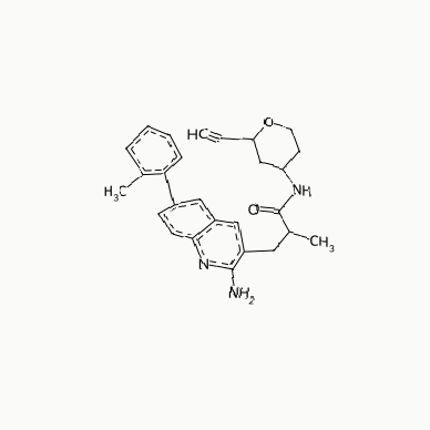 C#CC1CC(NC(=O)C(C)Cc2cc3cc(-c4ccccc4C)ccc3nc2N)CCO1